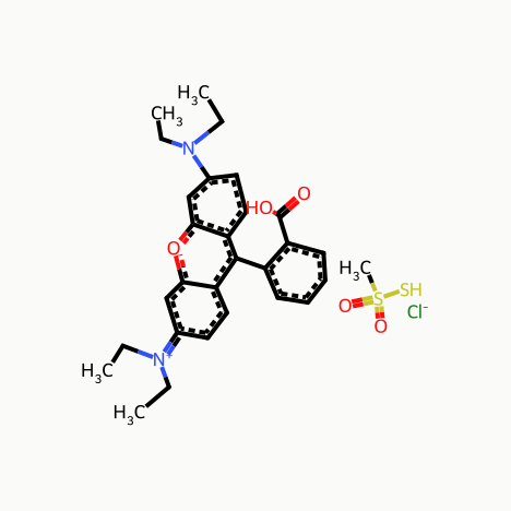 CCN(CC)c1ccc2c(-c3ccccc3C(=O)O)c3ccc(=[N+](CC)CC)cc-3oc2c1.CS(=O)(=O)S.[Cl-]